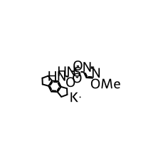 COc1cc(S(=O)(=O)NC(=O)Nc2c3c(cc4c2CCC4)CCC3)ncn1.[K]